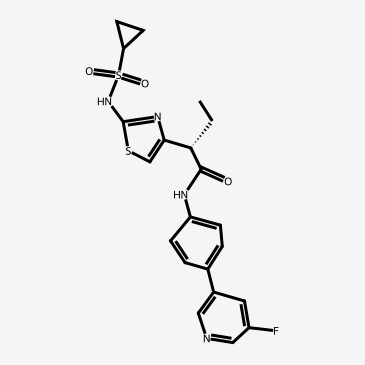 CC[C@H](C(=O)Nc1ccc(-c2cncc(F)c2)cc1)c1csc(NS(=O)(=O)C2CC2)n1